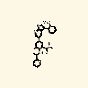 COc1ccccc1-c1n[nH]c2ncc(-c3cc(F)c(NC(C)c4ccccn4)c(C(=O)N(C)C)c3)cc12